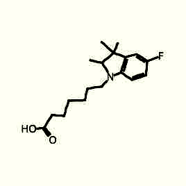 CC1N(CCCCCCC(=O)O)c2ccc(F)cc2C1(C)C